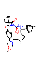 CCCC(NC(=O)N1C(=O)C(CC)(CC)C1Oc1ccc([C@@H](COC)N(C)CCC)cc1)c1ccc(C)cc1